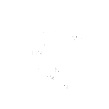 COC(=O)C(NC(=O)C12CC3CC(C1)CC(C(=O)OC)(C3)C2)C(C)N1CCNCC1